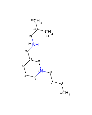 CCCCN1CCCC(CNCC(C)C)C1